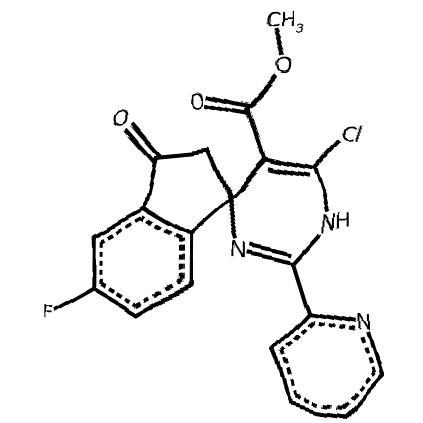 COC(=O)C1=C(Cl)NC(c2ccccn2)=NC12CC(=O)c1cc(F)ccc12